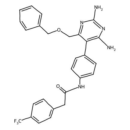 Nc1nc(N)c(-c2ccc(NC(=O)Cc3ccc(C(F)(F)F)cc3)cc2)c(COCc2ccccc2)n1